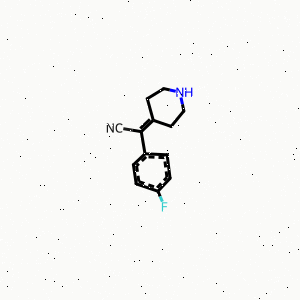 N#CC(=C1CCNCC1)c1ccc(F)cc1